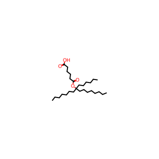 CCCCCCCCC(CCCCCC)(CCCCCCC)OC(=O)CCCCC(=O)O